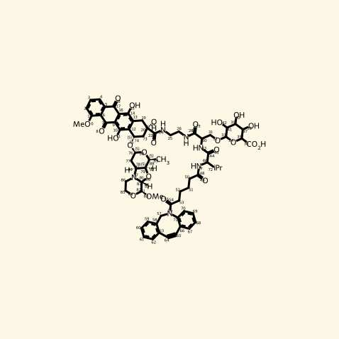 COc1cccc2c1C(=O)c1c(O)c3c(c(O)c1C2=O)C[C@@](O)(C(=O)NCCNC(=O)C(COC1OC(C(=O)O)C(O)C(O)C1O)NC(=O)C(NC(=O)CCCCC(=O)N1Cc2ccccc2C#Cc2ccccc21)C(C)C)C[C@@H]3O[C@@H]1C[C@H]2[C@H](O[C@@H]3[C@@H](OC)OCCN32)[C@H](C)O1